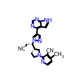 Cc1ccnc(N2CC[C@H]([C@H](CC#N)n3cc(-c4ncnc5[nH]ccc45)cn3)C2)c1C#N